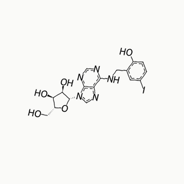 OC[C@H]1O[C@@H](n2cnc3c(NCc4cc(I)ccc4O)ncnc32)[C@H](O)[C@@H]1O